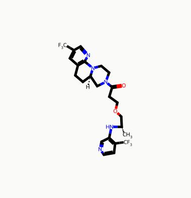 C[C@@H](COCCC(=O)N1CCN2c3ncc(C(F)(F)F)cc3CC[C@@H]2C1)Nc1cnccc1C(F)(F)F